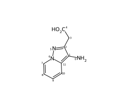 Nc1c(CC(=O)O)nn2ccccc12